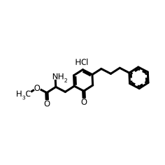 COC(=O)C(N)CC1=CC=C(CCCc2ccccc2)CC1=O.Cl